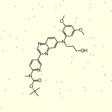 COc1cc(OC)cc(N(CCCO)c2ccc3ncc(-c4ccc(N(C)C(=O)OC(C)(C)C)nc4)nc3c2)c1